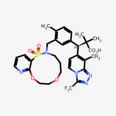 Cc1ccc([C@H](c2ccn3c(C(F)(F)F)nnc3c2C)C(C)(C)C(=O)O)cc1CN1CCCOCCOc2ncccc2S1(=O)=O